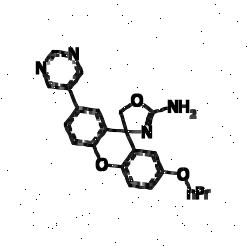 CCCOc1ccc2c(c1)C1(COC(N)=N1)c1cc(-c3cncnc3)ccc1O2